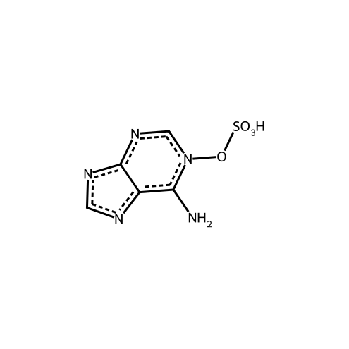 Nc1c2ncnc-2ncn1OS(=O)(=O)O